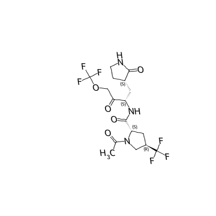 CC(=O)N1C[C@H](C(F)(F)F)C[C@H]1C(=O)N[C@@H](C[C@@H]1CCNC1=O)C(=O)COC(F)(F)F